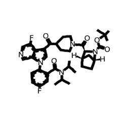 CC(C)N(C(=O)c1cc(F)ccc1-n1cc(C(=O)C2CCN(C(=O)[C@@H]3[C@H]4CC[C@H](C4)N3C(=O)OC(C)(C)C)CC2)c2c(F)cncc21)C(C)C